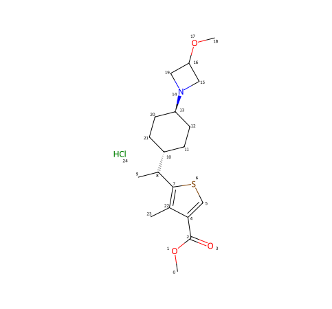 COC(=O)c1csc(C(C)[C@H]2CC[C@H](N3CC(OC)C3)CC2)c1C.Cl